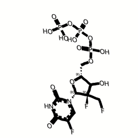 O=c1[nH]c(=O)n([C@@H]2O[C@H](COP(=O)(O)OP(=O)(O)OP(=O)(O)O)C(O)[C@]2(F)CF)cc1F